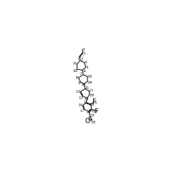 C/C=C/C1CCC(C2CCC(C3C=CC(c4ccc(C5CO5)c(F)c4F)CC3)CC2)CC1